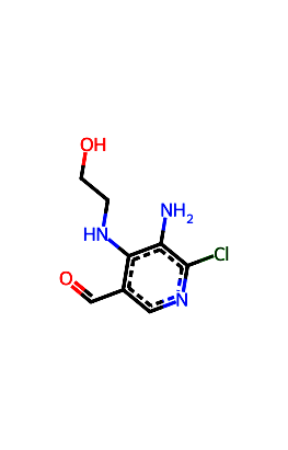 Nc1c(Cl)ncc(C=O)c1NCCO